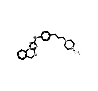 CN1CCN(CCCc2ccc(Nc3nc4n(n3)-c3ccccc3CN4)cc2)CC1